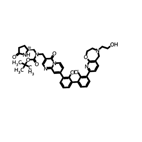 CC(C)(C)OC(=O)N(Cc1cnc2cc(-c3cccc(-c4cccc(-c5ccc6c(n5)OCCN(CCO)C6)c4Cl)c3Cl)ccn2c1=O)C[C@@H]1CCC(=O)N1